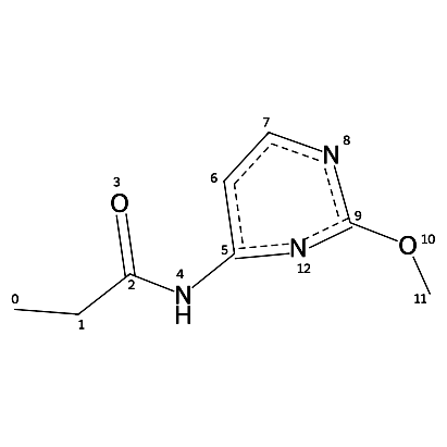 CCC(=O)Nc1ccnc(OC)n1